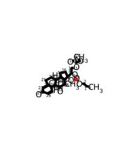 CCCOC(=O)O[C@]1(C(=O)COS(C)(=O)=O)CC[C@H]2[C@@H]3CCC4=CC(=O)C=C[C@]4(C)[C@H]3C(=O)C[C@@]21C